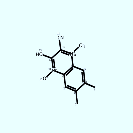 Cc1cc2c(cc1C)[n+]([O-])c(C#N)c(O)[n+]2[O-]